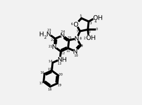 CC1(O)C(O)[CH]OC1n1cnc2c(NCc3ccccc3)nc(N)nc21